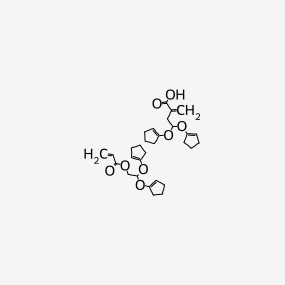 C=C(CC(OC1=CCCC1)OC1=CCCC1)C(=O)O.C=CC(=O)OCC(OC1=CCCC1)OC1=CCCC1